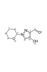 O=Cc1nn(C2CCCCO2)cc1O